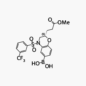 COC(=O)CC[C@H]1CN(S(=O)(=O)c2cccc(C(F)(F)F)c2)c2cc(B(O)O)ccc2O1